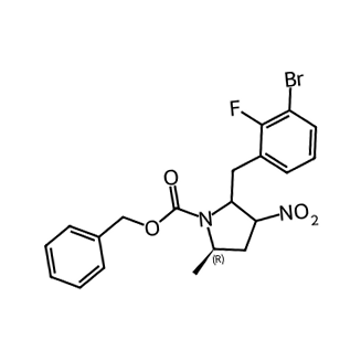 C[C@@H]1CC([N+](=O)[O-])C(Cc2cccc(Br)c2F)N1C(=O)OCc1ccccc1